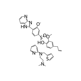 C=CCc1ccc(O)c(OC)c1.CN(C)CCN(Cc1cccs1)c1ccccn1.COc1cc([S+](C)[O-])ccc1-c1nc2ncccc2[nH]1